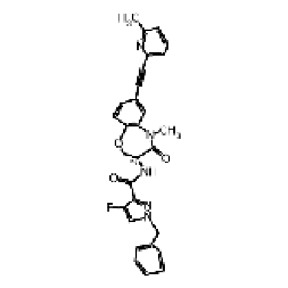 Cc1cccc(C#Cc2ccc3c(c2)N(C)C(=O)[C@@H](NC(=O)c2nn(Cc4ccccc4)cc2F)CO3)n1